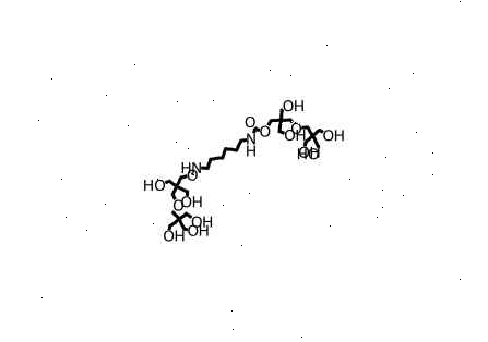 O=C(NCCCCCCNOCC(CO)(CO)COCC(CO)(CO)CO)OCC(CO)(CO)COCC(CO)(CO)CO